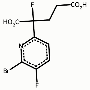 O=C(O)CCC(F)(C(=O)O)c1ccc(F)c(Br)n1